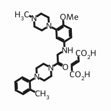 COc1ccc(NCC(=O)N2CCN(c3ccccc3C)CC2)cc1N1CCN(C)CC1.O=C(O)/C=C/C(=O)O